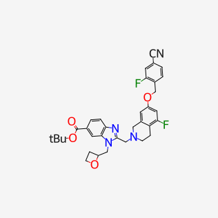 CC(C)(C)OC(=O)c1ccc2nc(CN3CCc4c(F)cc(OCc5ccc(C#N)cc5F)cc4C3)n(CC3CCO3)c2c1